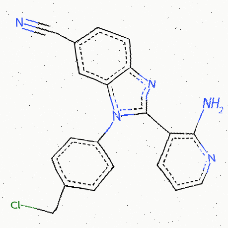 N#Cc1ccc2nc(-c3cccnc3N)n(-c3ccc(CCl)cc3)c2c1